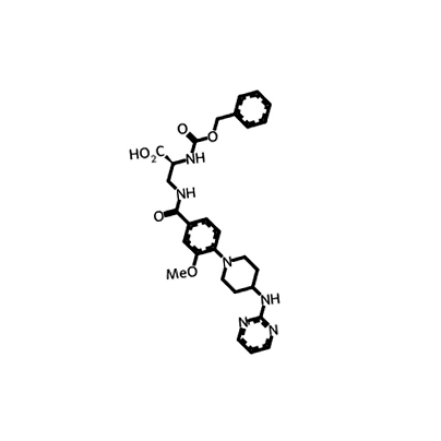 COc1cc(C(=O)NC[C@H](NC(=O)OCc2ccccc2)C(=O)O)ccc1N1CCC(Nc2ncccn2)CC1